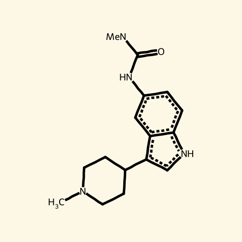 CNC(=O)Nc1ccc2[nH]cc(C3CCN(C)CC3)c2c1